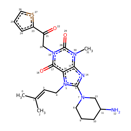 CC(C)=CCn1c(N2CCCC(N)C2)nc2c1c(=O)n(CC(=O)c1cccs1)c(=O)n2C